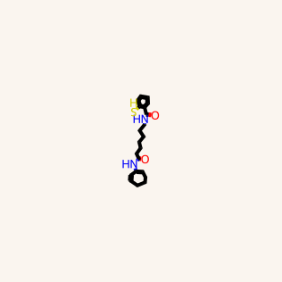 O=C(CCCCCCNC(=O)c1ccccc1S)NC1=CCCCC#C1